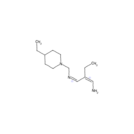 CCC(/C=N\CN1CCC(CC)CC1)=C/N